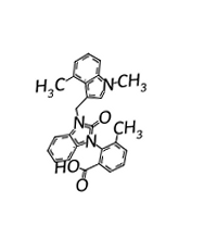 Cc1cccc(C(=O)O)c1-n1c(=O)n(Cc2cn(C)c3cccc(C)c23)c2ccccc21